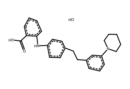 Cl.O=C(O)c1ccccc1Nc1ccc(CCc2cccc(N3CCCCC3)c2)cc1